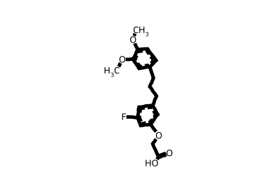 COc1ccc(CCCc2cc(F)cc(OCC(=O)O)c2)cc1OC